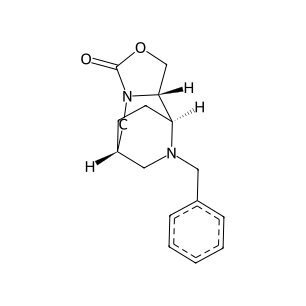 O=C1OC[C@@H]2[C@@H]3CC[C@@H](CN3Cc3ccccc3)CN12